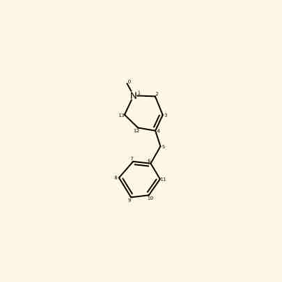 CN1CC=C(Cc2ccccc2)CC1